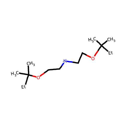 CCC(C)(C)OCC[N]CCOC(C)(C)CC